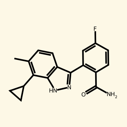 Cc1ccc2c(-c3cc(F)ccc3C(N)=O)n[nH]c2c1C1CC1